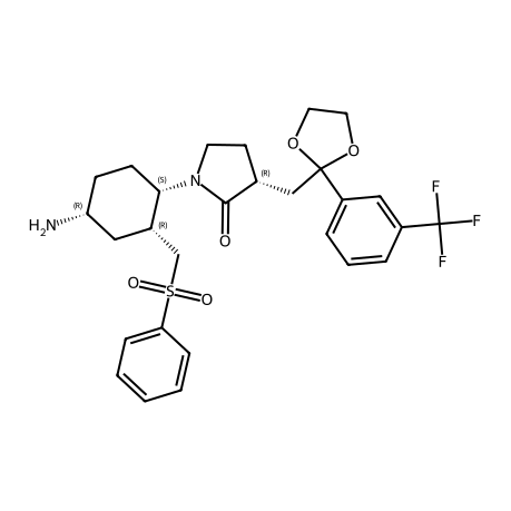 N[C@@H]1CC[C@H](N2CC[C@H](CC3(c4cccc(C(F)(F)F)c4)OCCO3)C2=O)[C@H](CS(=O)(=O)c2ccccc2)C1